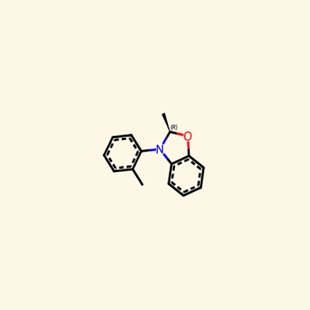 Cc1ccccc1N1c2ccccc2O[C@@H]1C